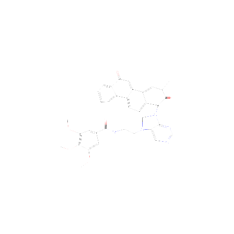 COc1cc(C(=O)NCCN2CN(C3(C)C(=O)C(C)C=c4c3ccc3c4=CC(=O)c4ccccc4-3)c3ncncc32)cc(OC)c1OC